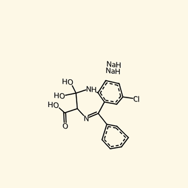 O=C(O)C1N=C(c2ccccc2)c2cc(Cl)ccc2NC1(O)O.[NaH].[NaH]